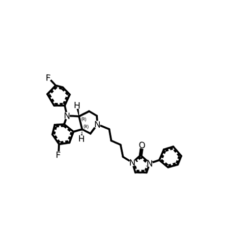 O=c1n(CCCCN2CC[C@@H]3[C@@H](C2)c2cc(F)ccc2N3c2ccc(F)cc2)ccn1-c1ccccc1